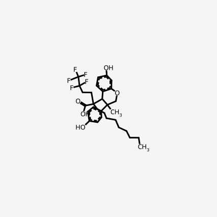 CCCCCCCCCC(CCC(F)(F)C(F)(F)F)(C(=O)O)C1c2ccc(O)cc2OCC1(C)c1ccc(O)cc1